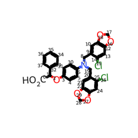 O=C(O)C(Oc1ccc(N(Cc2cc3c(cc2Cl)OCO3)Cc2cc3c(cc2Cl)OCO3)cc1)c1ccccc1